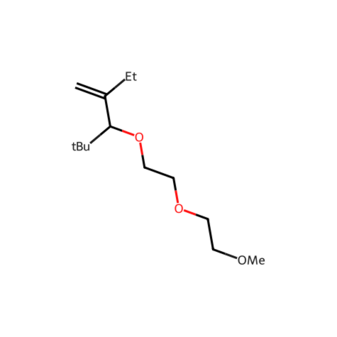 C=C(CC)C(OCCOCCOC)C(C)(C)C